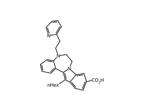 CCCCCCc1c2n(c3cc(C(=O)O)ccc13)CCN(CCc1ccccn1)c1ccccc1-2